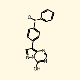 [O-][S+](c1ccccc1)c1ccc(-c2cnn3c(O)ncnc23)cc1